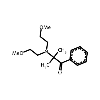 COCCN(CCOC)C(C)(C)C(=O)c1ccccc1